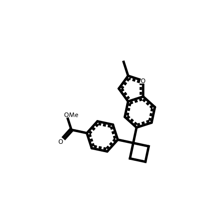 COC(=O)c1ccc(C2(c3ccc4oc(C)cc4c3)CCC2)cc1